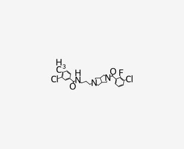 Cc1ccc(C(=O)NCCCN2CC3CN(C(=O)c4cccc(Cl)c4F)CC3C2)cc1Cl